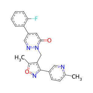 Cc1ccc(-c2noc(C)c2Cn2ncc(-c3ccccc3F)cc2=O)cn1